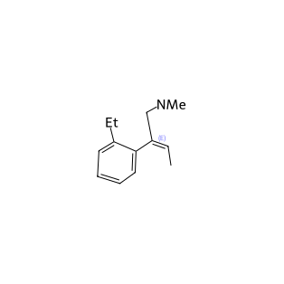 C/C=C(/CNC)c1ccccc1CC